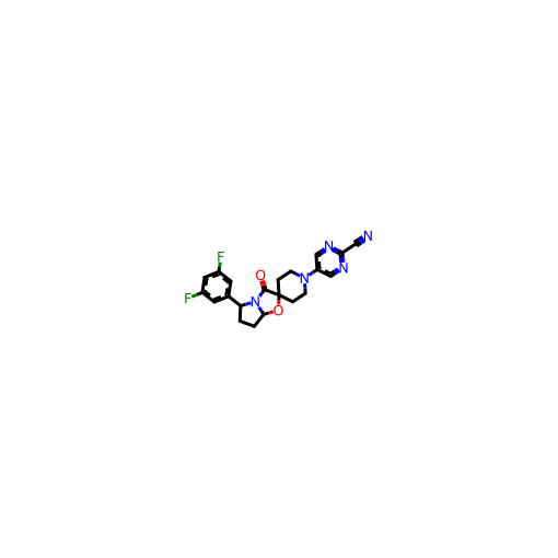 N#Cc1ncc(N2CCC3(CC2)OC2CCC(c4cc(F)cc(F)c4)N2C3=O)cn1